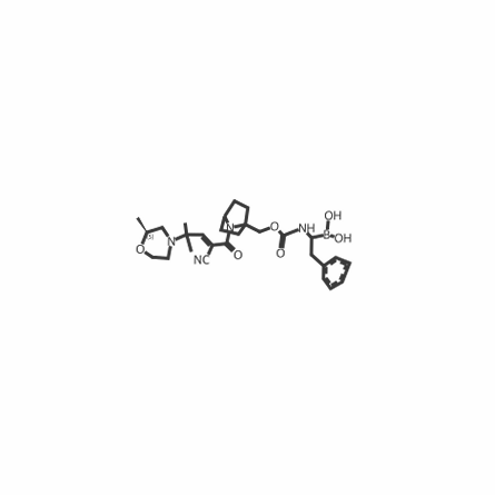 C[C@H]1CN(C(C)(C)C=C(C#N)C(=O)N2C3CCC2(COC(=O)NC(Cc2ccccc2)B(O)O)CC3)CCO1